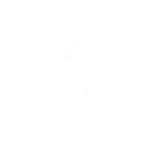 CN(c1ccc(OC(F)F)c(N)c1)c1cc(C#N)nc2ccccc12